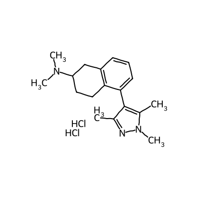 Cc1nn(C)c(C)c1-c1cccc2c1CCC(N(C)C)C2.Cl.Cl